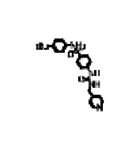 CC(C)(C)c1ccc(NS(=O)(=O)c2ccc(NC(=O)NCc3ccncc3)cc2)cc1